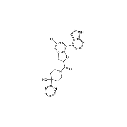 O=C(C1Cc2cc(Cl)cc(-c3ccnc4[nH]ccc34)c2O1)N1CCC(O)(c2ccccn2)CC1